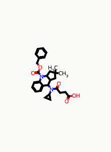 CC1(C)CC2C(C1)N(C(=O)OCc1ccccc1)c1ccccc1C2N(C(=O)CCC(=O)O)C1CC1